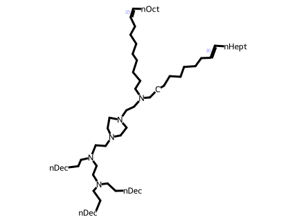 CCCCCCC/C=C/CCCCCCCCN(CCCCCCCC/C=C\CCCCCCCC)CCN1CCN(CCN(CCCCCCCCCCCC)CCN(CCCCCCCCCCCC)CCCCCCCCCCCC)CC1